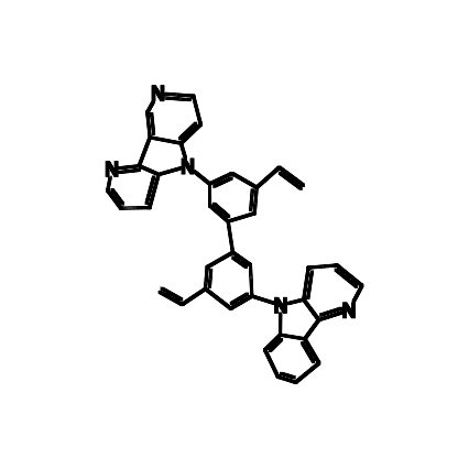 C=Cc1cc(-c2cc(C=C)cc(-n3c4ccncc4c4ncccc43)c2)cc(-n2c3ccccc3c3ncccc32)c1